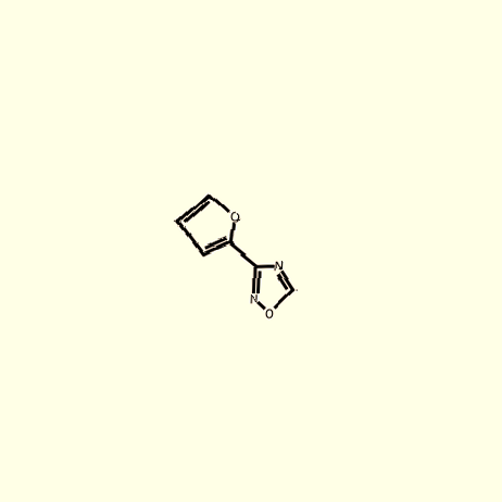 [c]1nc(-c2ccco2)no1